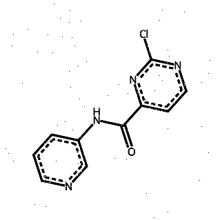 O=C(Nc1cccnc1)c1ccnc(Cl)n1